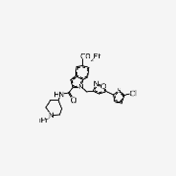 CCOC(=O)c1ccc2c(c1)cc(C(=O)NC1CCN(C(C)C)CC1)n2Cc1cc(-c2ccc(Cl)s2)on1